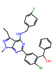 CCc1nn(C)c2nc(-c3ccc(Br)c(C(O)c4ccccc4)c3)nc(NCc3ccc(F)cc3)c12